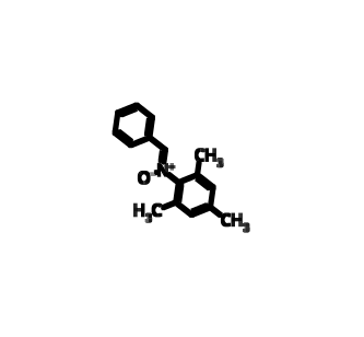 Cc1cc(C)c([N+]([O-])=Cc2ccccc2)c(C)c1